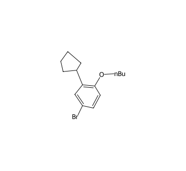 CCCCOc1ccc(Br)cc1C1CCCC1